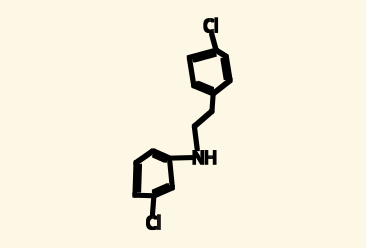 Clc1ccc(CCNc2cccc(Cl)c2)cc1